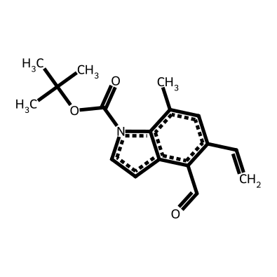 C=Cc1cc(C)c2c(ccn2C(=O)OC(C)(C)C)c1C=O